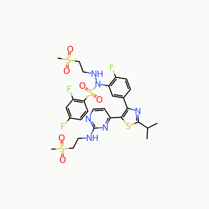 CC(C)c1nc(-c2ccc(F)c(N(NCCS(C)(=O)=O)S(=O)(=O)c3ccc(F)cc3F)c2)c(-c2ccnc(NCCS(C)(=O)=O)n2)s1